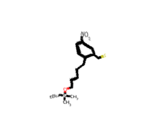 CC(C)(C)[Si](C)(C)OCCCCCc1ccc([N+](=O)[O-])cc1C=S